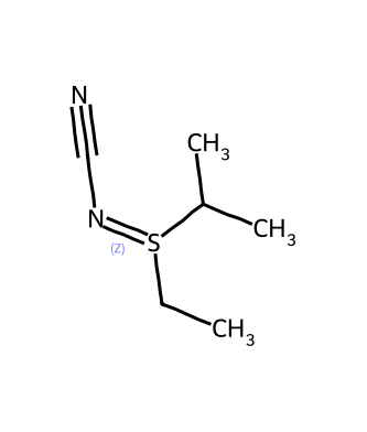 CC/S(=N/C#N)C(C)C